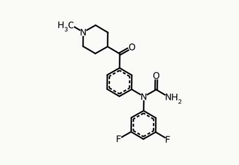 CN1CCC(C(=O)c2cccc(N(C(N)=O)c3cc(F)cc(F)c3)c2)CC1